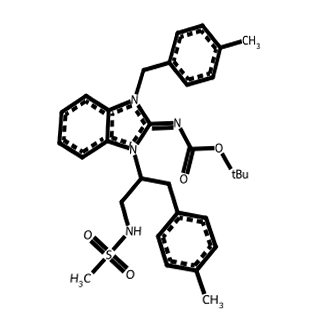 Cc1ccc(CC(CNS(C)(=O)=O)n2c(=NC(=O)OC(C)(C)C)n(Cc3ccc(C)cc3)c3ccccc32)cc1